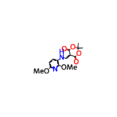 COc1ccc(NC=C2C(=O)OC(C)(C)OC2=O)c(OC)n1